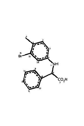 Cc1ccc(NC(C(=O)O)c2ccccc2)cc1Br